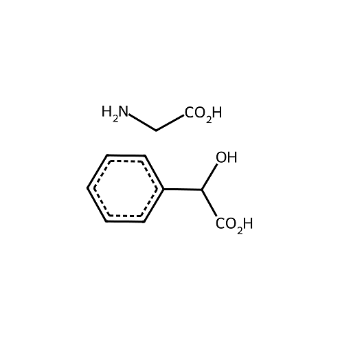 NCC(=O)O.O=C(O)C(O)c1ccccc1